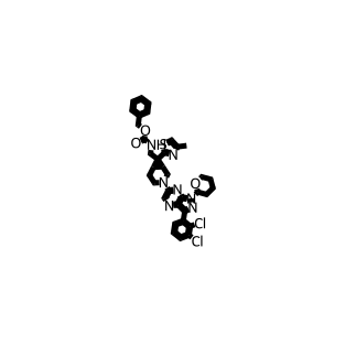 Cc1csc(C2(CNC(=O)OCc3ccccc3)C3CCN(c4cnc5c(-c6cccc(Cl)c6Cl)nn(C6CCCCO6)c5n4)CC32)n1